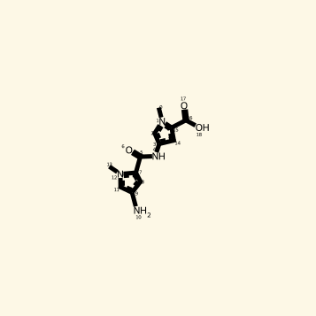 Cn1cc(NC(=O)c2cc(N)cn2C)cc1C(=O)O